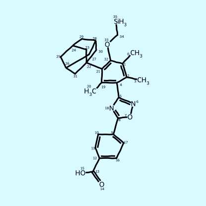 Cc1c(C)c(-c2noc(-c3ccc(C(=O)O)cc3)n2)c(C)c(C23CC4CC(CC(C4)C2)C3)c1OC[SiH3]